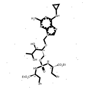 CCOC(=O)[C@H](CC(C)C)NP(=O)(N[C@@H](CC(C)C)C(=O)OCC)OC[C@@H](OCn1cnc2c(NC3CC3)nc(N)nc21)[C@H](O)C(C)O